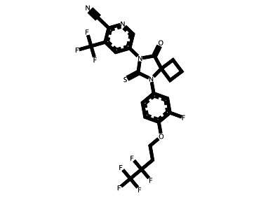 N#Cc1ncc(N2C(=O)C3(CCC3)N(c3ccc(OCCC(F)(F)C(F)(F)F)c(F)c3)C2=S)cc1C(F)(F)F